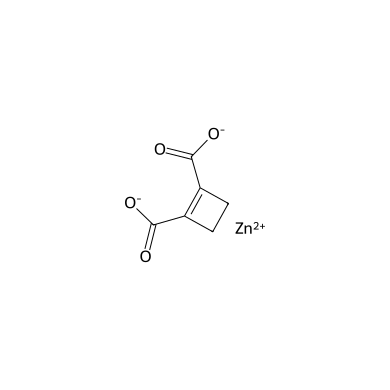 O=C([O-])C1=C(C(=O)[O-])CC1.[Zn+2]